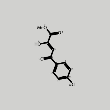 COC(=O)/C(O)=C/C(=O)c1ccc(Cl)cc1